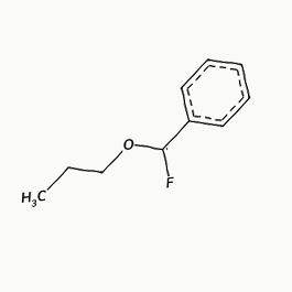 CCCO[C](F)c1ccccc1